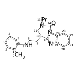 Cc1ccccc1NCCC1CN(C(C)C)C(=O)n2c1nc1ccccc12